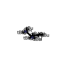 CC(C)(C)OC(=O)/N=C(/N(CCCCCCCN/C(=N\C(=O)OC(C)(C)C)NC(=O)OC(C)(C)C)C(=O)OC(C)(C)C)N(CCOCc1cc(C(=N)NC(=O)OC(C)(C)C)cs1)C(=O)OC(C)(C)C